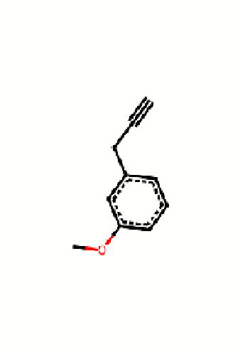 C#C[CH]c1cccc(OC)c1